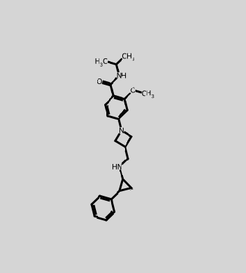 COc1cc(N2CC(CNC3CC3c3ccccc3)C2)ccc1C(=O)NC(C)C